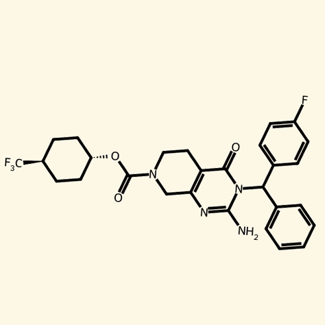 Nc1nc2c(c(=O)n1C(c1ccccc1)c1ccc(F)cc1)CCN(C(=O)O[C@H]1CC[C@H](C(F)(F)F)CC1)C2